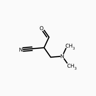 CN(C)CC(C#N)C=O